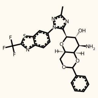 Cc1nc([C@@H]2O[C@@H]3COC(c4ccccc4)O[C@@H]3[C@H](N)[C@H]2O)n(-c2ccc3nc(C(F)(F)F)sc3c2)n1